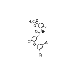 CS(=O)(=O)c1ccc(F)c(NC(=O)Cc2ccc(Cl)c(Oc3cc(C#N)cc(C#N)c3)c2)c1